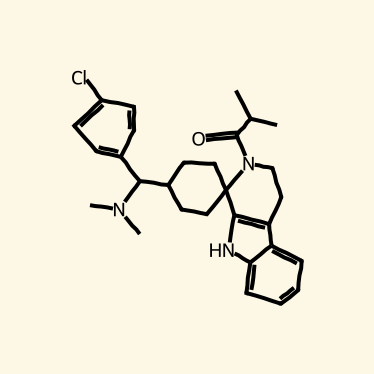 CC(C)C(=O)N1CCc2c([nH]c3ccccc23)C12CCC(C(c1ccc(Cl)cc1)N(C)C)CC2